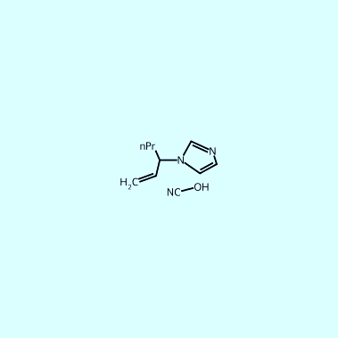 C=CC(CCC)n1ccnc1.N#CO